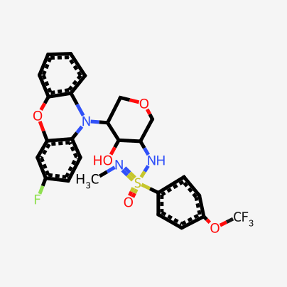 CN=S(=O)(NC1COCC(N2c3ccccc3Oc3cc(F)ccc32)C1O)c1ccc(OC(F)(F)F)cc1